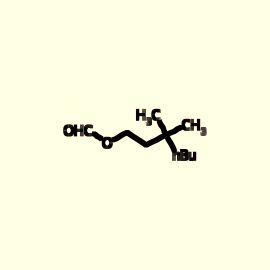 CCCCC(C)(C)CCOC=O